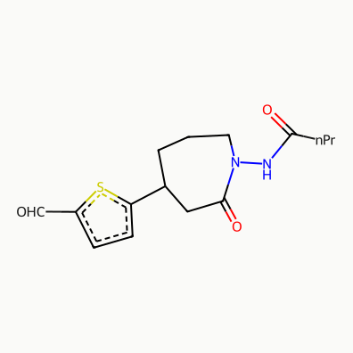 CCCC(=O)NN1CCCC(c2ccc(C=O)s2)CC1=O